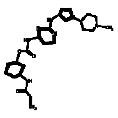 C=CC(=O)Nc1cccc(OC(=O)Nc2ccnc(Nc3cnn(C4CCN(C)CC4)c3)n2)c1